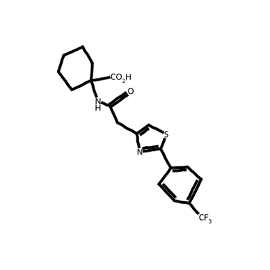 O=C(Cc1csc(-c2ccc(C(F)(F)F)cc2)n1)NC1(C(=O)O)CCCCC1